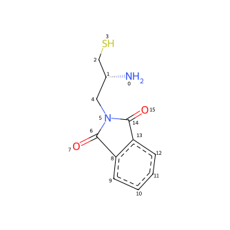 N[C@@H](CS)CN1C(=O)c2ccccc2C1=O